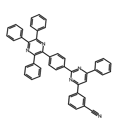 N#Cc1cccc(-c2cc(-c3ccccc3)nc(-c3ccc(-c4nc(-c5ccccc5)c(-c5ccccc5)nc4-c4ccccc4)cc3)n2)c1